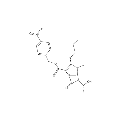 CC1C(SCCI)=C(C(=O)OCc2ccc([N+](=O)[O-])cc2)N2C(=O)C([C@@H](C)O)C12